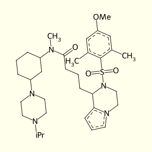 COc1cc(C)c(S(=O)(=O)N2CCn3cccc3C2CCCC(=O)N(C)C2CCCC(N3CCN(C(C)C)CC3)C2)c(C)c1